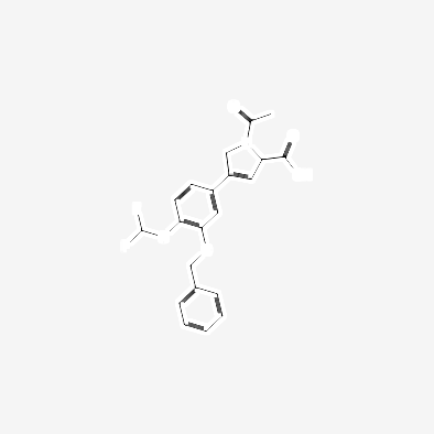 CC(=O)N1CC(c2ccc(OC(F)F)c(OCc3ccccc3)c2)=CC1C(=O)O